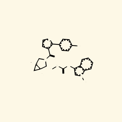 Cc1ccc(-c2sccc2C(=O)N2C[C@@H]3C[C@@H]3[C@H]2CNC(=O)Oc2cn(C)c3ccccc23)cc1